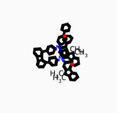 CC1(C)c2ccccc2-c2ccc(N(c3ccc(-c4ccccc4)cc3)c3ccc(-c4cccc5c4-c4c(-c6ccc(N(c7ccc(-c8ccccc8)cc7)c7ccc8c(c7)C(C)(C)c7ccccc7-8)cc6)cccc4-5)cc3)cc21